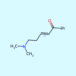 CC(C)C(=O)/C=C/CCN(C)C